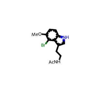 COc1ccc2[nH]cc(CCNC(C)=O)c2c1Br